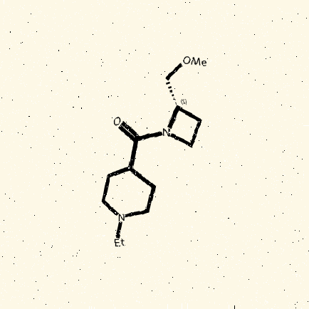 CCN1CCC(C(=O)N2CC[C@H]2COC)CC1